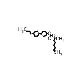 CCCCCC[C@H](C)OC(=O)O[C@H]1CC[C@H]([C@H]2CC[C@H](CCCC)CC2)CC1